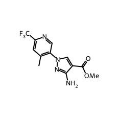 COC(=O)c1cn(-c2cnc(C(F)(F)F)cc2C)nc1N